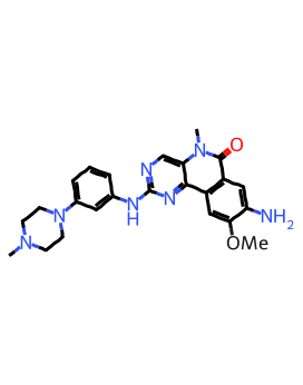 COc1cc2c(cc1N)c(=O)n(C)c1cnc(Nc3cccc(N4CCN(C)CC4)c3)nc21